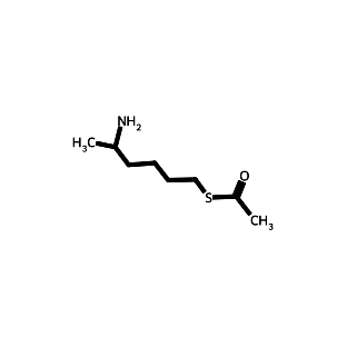 CC(=O)SCCCCC(C)N